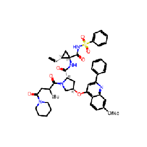 C=C[C@@H]1C[C@]1(NC(=O)[C@@H]1C[C@@H](Oc2cc(-c3ccccc3)nc3cc(OC)ccc23)CN1C(=O)C(CC(=O)N1CCCCC1)C(C)(C)C)C(=O)NS(=O)(=O)c1ccccc1